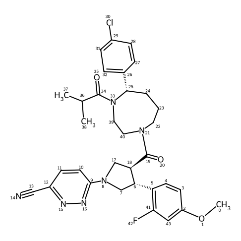 COc1ccc([C@@H]2CN(c3ccc(C#N)nn3)C[C@H]2C(=O)N2CCC[C@@H](c3ccc(Cl)cc3)N(C(=O)C(C)C)CC2)c(F)c1